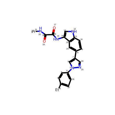 CCc1ccc(-n2cc(-c3ccc4[nH]cc(NC(=O)C(=O)NC(C)C)c4c3)cn2)cc1